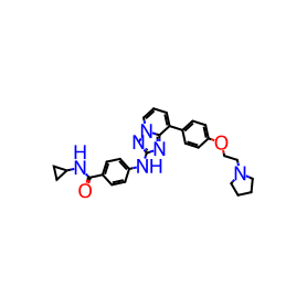 O=C(NC1CC1)c1ccc(Nc2nc3c(-c4ccc(OCCN5CCCC5)cc4)cccn3n2)cc1